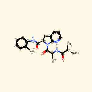 CN[C@@H](C)C(=O)NC(C(=O)N1c2ncccc2C[C@@H]1C(=O)Nc1ccccc1C)C(C)C